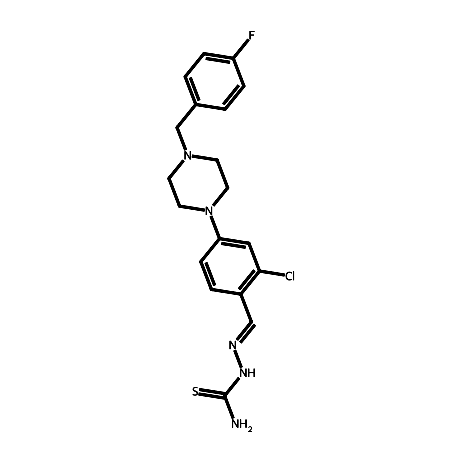 NC(=S)N/N=C/c1ccc(N2CCN(Cc3ccc(F)cc3)CC2)cc1Cl